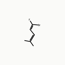 CC(C)=C/C=C(/F)Br